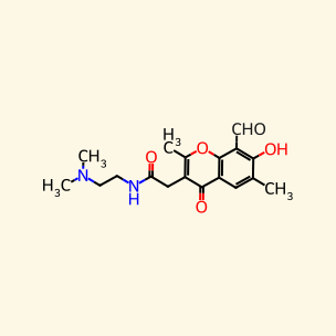 Cc1cc2c(=O)c(CC(=O)NCCN(C)C)c(C)oc2c(C=O)c1O